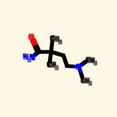 CN(C)CCC(C)(C)C(N)=O